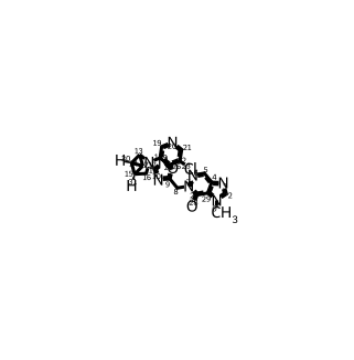 Cn1cnc2cnn(Cc3nc([C@@]45C6[C@H]4[C@H]5CN6c4cncc(Cl)c4)no3)c(=O)c21